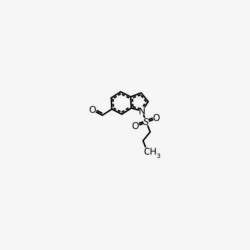 CCCS(=O)(=O)n1ccc2ccc(C=O)cc21